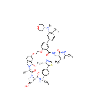 CCN(c1cc(-c2ccc(OCCOc3ccc4c(c3)C(=O)N([C@H](C(=O)N3C[C@H](O)C[C@H]3C(=O)N[C@@H](C)c3ccc(-c5scnc5C)cc3)C(C)C)C4)c(C(=O)NCc3c(C)cc(C)[nH]c3=O)c2)ccc1C)C1CCOCC1